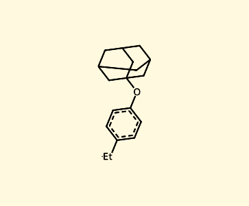 C[CH]c1ccc(OC23CC4CC(CC(C4)C2)C3)cc1